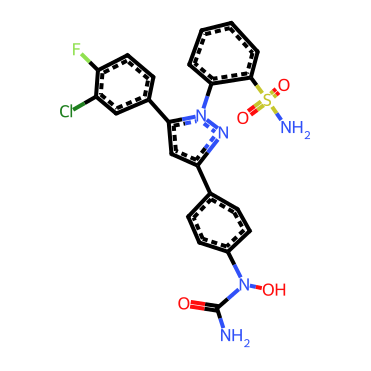 NC(=O)N(O)c1ccc(-c2cc(-c3ccc(F)c(Cl)c3)n(-c3ccccc3S(N)(=O)=O)n2)cc1